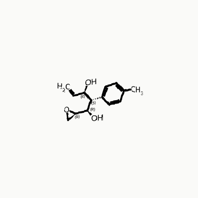 C=C[C@@H](O)[C@H](c1ccc(C)cc1)[C@@H](O)[C@H]1CO1